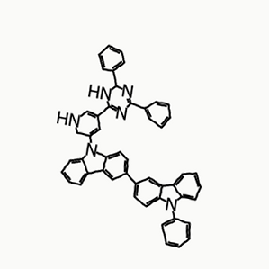 C1=C(C2=NC(c3ccccc3)=NC(c3ccccc3)N2)C=C(n2c3ccccc3c3cc(-c4ccc5c(c4)c4ccccc4n5-c4ccccc4)ccc32)CN1